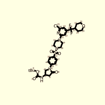 CC(C)(C)OC(=O)NC1CC(=O)N(c2ccc(S(=O)(=O)N3CCN(c4cc(C(F)(F)C5CCOCC5)cc(Cl)n4)CC3)cc2)C1